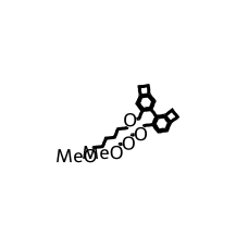 COCCCCCCOCc1cc2c(cc1-c1c(COCOCOC)ccc3c1CC3)CC2